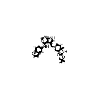 CC1(NC(=O)OC(C)(C)C)CCN(Cc2c[nH]c3ncnc(Nc4ccc5occc5c4)c23)CC1